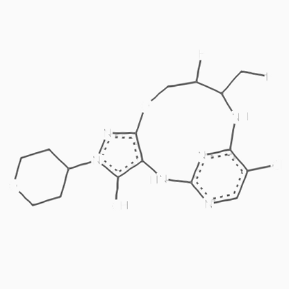 Cc1c2c(nn1C1CCOCC1)OCC(F)C(CF)Nc1nc(ncc1Cl)N2